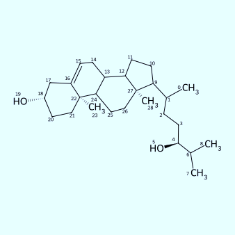 CC(CC[C@H](O)C(C)C)C1CCC2C3CC=C4C[C@@H](O)CC[C@]4(C)C3CC[C@]12C